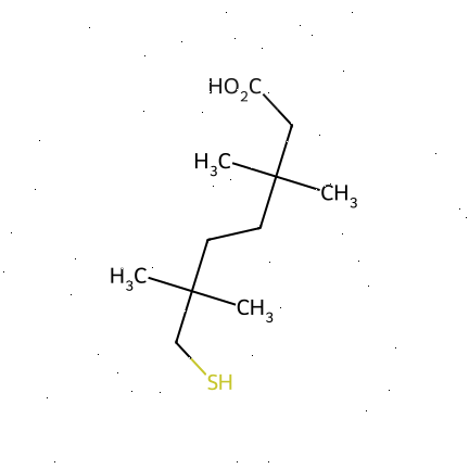 CC(C)(CS)CCC(C)(C)CC(=O)O